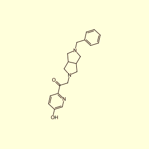 O=C(CN1CC2CN(Cc3ccccc3)CC2C1)c1ccc(O)cn1